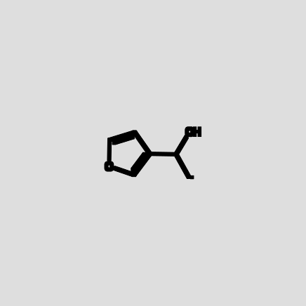 [CH2]C(O)c1ccoc1